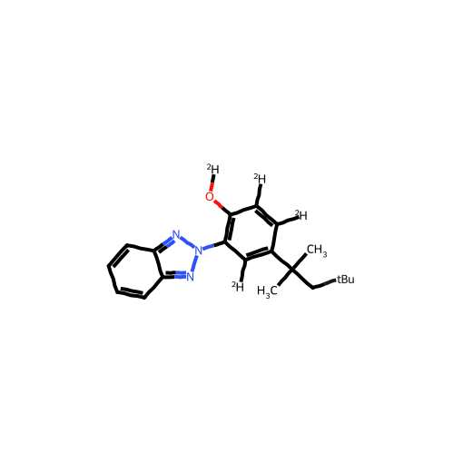 [2H]Oc1c([2H])c([2H])c(C(C)(C)CC(C)(C)C)c([2H])c1-n1nc2ccccc2n1